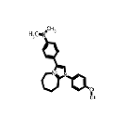 CCOc1ccc(-n2cc(-c3ccc(N(C)C)cc3)[n+]3c2CCCCC3)cc1